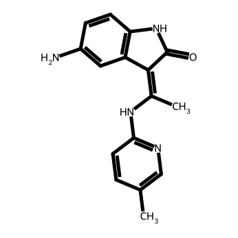 CC(Nc1ccc(C)cn1)=C1C(=O)Nc2ccc(N)cc21